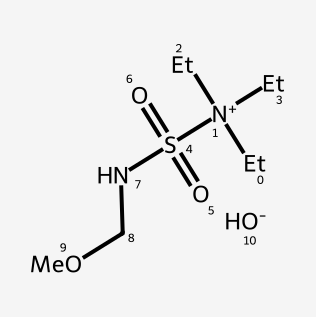 CC[N+](CC)(CC)S(=O)(=O)NCOC.[OH-]